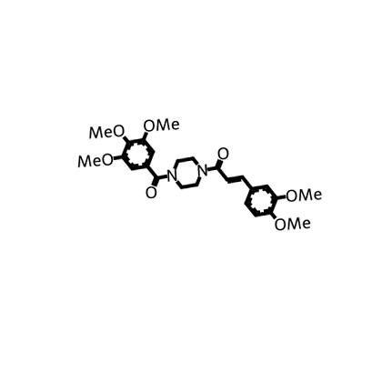 COc1ccc(/C=C/C(=O)N2CCN(C(=O)c3cc(OC)c(OC)c(OC)c3)CC2)cc1OC